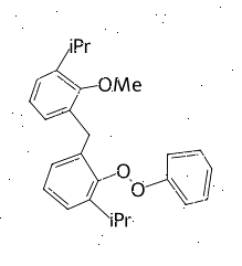 COc1c(Cc2cccc(C(C)C)c2OOc2ccccc2)cccc1C(C)C